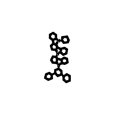 c1ccc(-c2cc(-c3ccccc3)cc(-n3c4ccccc4c4c(-n5c6ccccc6c6c5ccc5c7ccccc7n(-c7ccccc7)c56)cccc43)c2)cc1